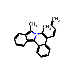 C=C/C=C\c1c(C)n2c(C)c3ccccc3c2c2ccccc12